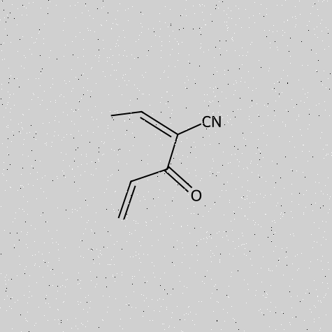 C=CC(=O)C(C#N)=CC